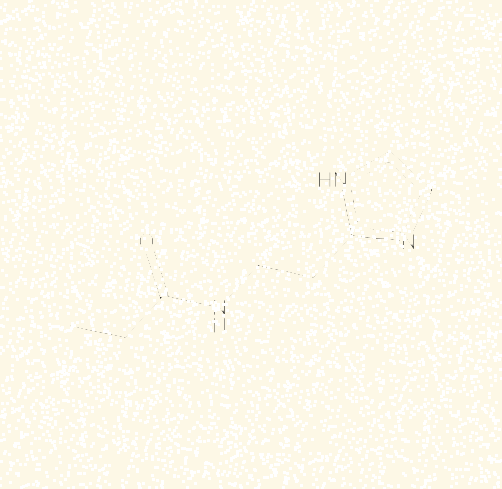 CCC(=O)NCCc1ncc[nH]1